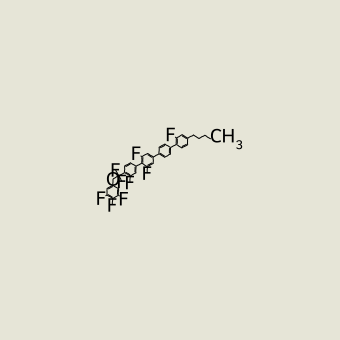 CCCCCc1ccc(-c2ccc(-c3cc(F)c(-c4ccc(C(F)(F)Oc5cc(F)c(F)c(F)c5)c(F)c4)c(F)c3)cc2)c(F)c1